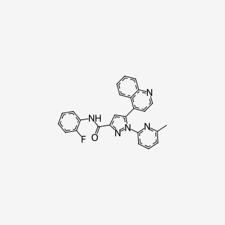 Cc1cccc(-n2nc(C(=O)Nc3ccccc3F)cc2-c2ccnc3ccccc23)n1